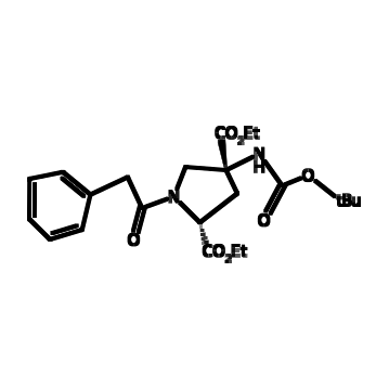 CCOC(=O)[C@H]1C[C@](NC(=O)OC(C)(C)C)(C(=O)OCC)CN1C(=O)Cc1ccccc1